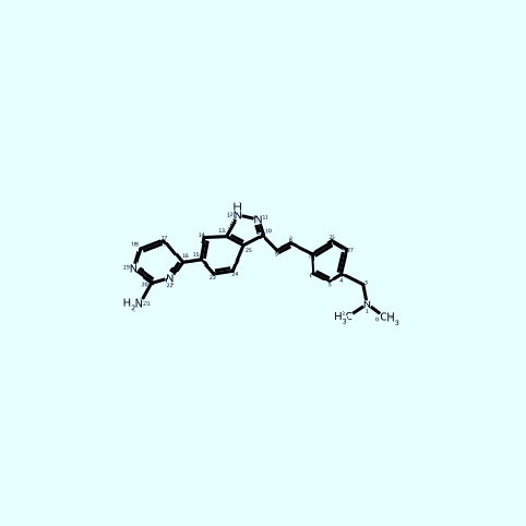 CN(C)Cc1ccc(C=Cc2n[nH]c3cc(-c4ccnc(N)n4)ccc23)cc1